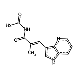 C/C(=C\c1c[nH]c2cccnc12)C(=O)NC(=O)S